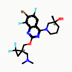 CN(C)C[C@@]1(COc2nc(N3CCC[C@@](C)(O)C3)c3cc(F)c(Br)c(F)c3n2)CC1(F)F